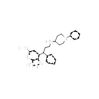 Nc1cc(C(CCNC2CCN(c3ccccc3)CC2)c2ccccc2)c2nn[nH]c2n1